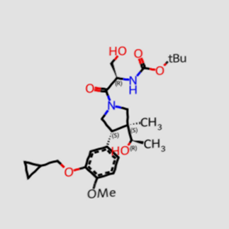 COc1ccc([C@@H]2CN(C(=O)[C@@H](CO)NC(=O)OC(C)(C)C)C[C@@]2(C)[C@@H](C)O)cc1OCC1CC1